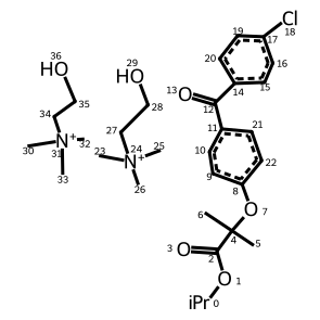 CC(C)OC(=O)C(C)(C)Oc1ccc(C(=O)c2ccc(Cl)cc2)cc1.C[N+](C)(C)CCO.C[N+](C)(C)CCO